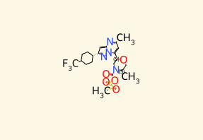 Cc1cc([C@@H]2CN(C(=O)OS(C)(=O)=O)[C@@H](C)CO2)n2nc([C@H]3CC[C@H](C(F)(F)F)CC3)cc2n1